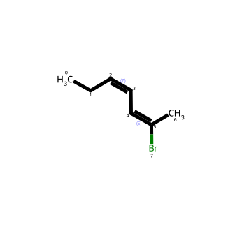 CC/C=C\C=C(/C)Br